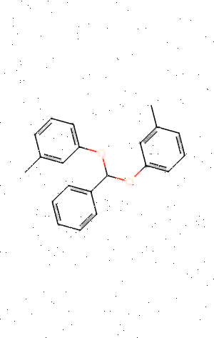 Cc1cccc(OC(Oc2cccc(C)c2)c2ccccc2)c1